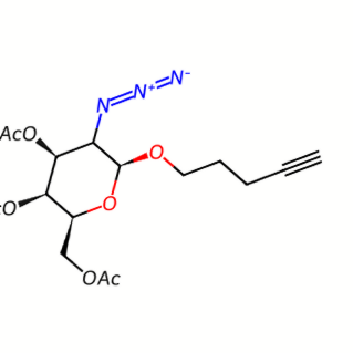 C#CCCCO[C@H]1O[C@@H](COC(C)=O)[C@@H](OC(C)=O)[C@@H](OC(C)=O)C1N=[N+]=[N-]